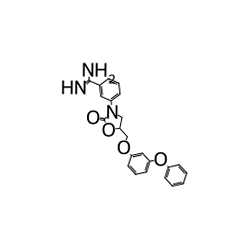 N=C(N)c1cccc(N2CC(COc3cccc(Oc4ccccc4)c3)OC2=O)c1